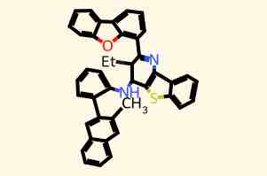 CCC1C(c2cccc3c2oc2ccccc23)=Nc2c(sc3ccccc23)C1Nc1ccccc1-c1cc2ccccc2cc1C